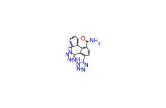 NC(=O)c1ccc(-c2nnn[nH]2)c(-c2nnn[nH]2)c1-c1ccccc1